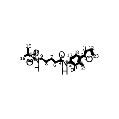 Cc1c(NC(=O)CCCCNS(=O)(=O)C(C)C)ccc(-c2ccco2)c1C